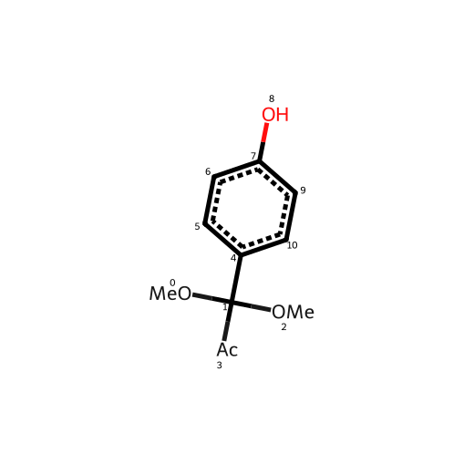 COC(OC)(C(C)=O)c1ccc(O)cc1